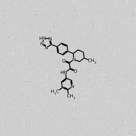 Cc1cc(NC(=O)C(=O)N2CC(C)CCC2c2ccc(-c3nn[nH]n3)cc2)cnc1C